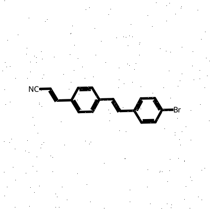 N#C/C=C/c1ccc(/C=C/c2ccc(Br)cc2)cc1